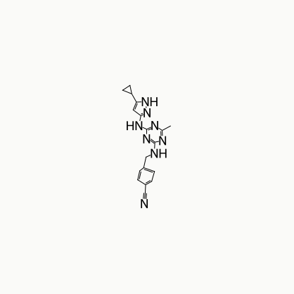 Cc1nc(NCc2ccc(C#N)cc2)nc(Nc2cc(C3CC3)[nH]n2)n1